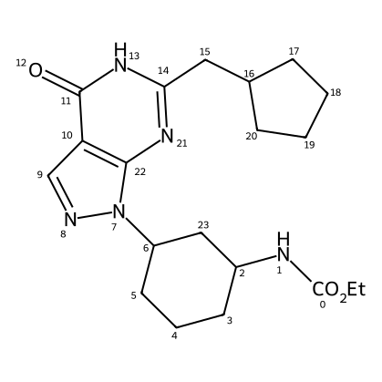 CCOC(=O)NC1CCCC(n2ncc3c(=O)[nH]c(CC4CCCC4)nc32)C1